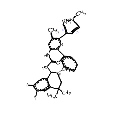 C/C=C(\C=C/N(C)N)c1nc(-c2ccccc2)c(NC(=O)NC2c3cc(F)c(F)cc3C(C)(C)C[C@H]2O)cc1C